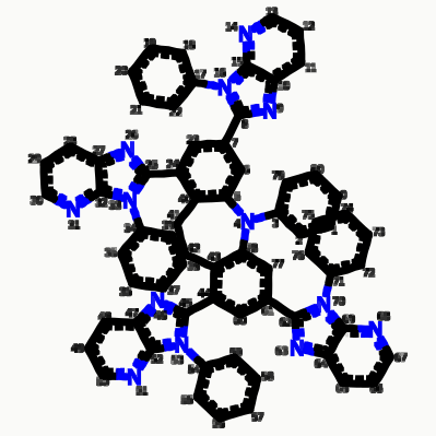 c1ccc(N2c3cc(-c4nc5cccnc5n4-c4ccccc4)cc(-c4nc5cccnc5n4-c4ccccc4)c3CCc3c(-c4nc5cccnc5n4-c4ccccc4)cc(-c4nc5cccnc5n4-c4ccccc4)cc32)cc1